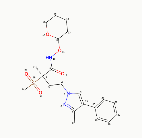 Cc1nn(CC[C@](C)(C(=O)NOC2CCCCO2)S(C)(=O)=O)cc1-c1ccccc1